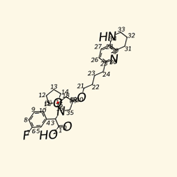 O=C(O)C(c1cc(F)ccc1[C@@H]1CCCO1)N1CC[C@@H](OCCCCc2ccc3c(n2)CCCN3)C1